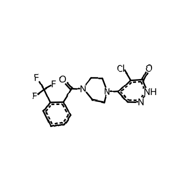 O=C(c1ccccc1C(F)(F)F)N1CCN(c2cn[nH]c(=O)c2Cl)CC1